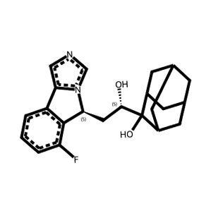 O[C@@H](C[C@H]1c2c(F)cccc2-c2cncn21)C1(O)C2CC3CC(C2)CC1C3